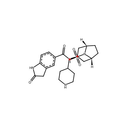 O=C1Cc2cc(C(=O)N[C@@H]3C[C@H]4CC[C@@H](C3)N4S(=O)(=O)CC3CCNCC3)ccc2N1